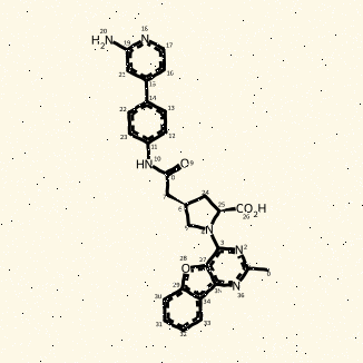 Cc1nc(N2C[C@@H](CC(=O)Nc3ccc(-c4ccnc(N)c4)cc3)C[C@H]2C(=O)O)c2oc3ccccc3c2n1